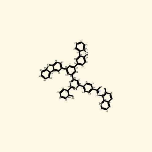 C/C(=N\c1c(C)ccc2cccnc12)c1ccc(-c2cc(-c3cc(-c4ccc5oc6ccccc6c5c4)cc(-c4ccc5oc6ccccc6c5c4)c3)nc(C3C=CC=CC3C)n2)cc1